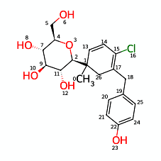 CC1([C@@H]2O[C@H](CO)[C@@H](O)[C@H](O)[C@H]2O)C=CC(Cl)=C(Cc2ccc(O)cc2)C1